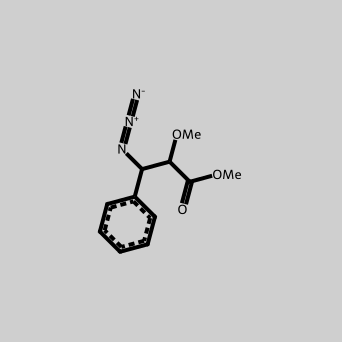 COC(=O)C(OC)C(N=[N+]=[N-])c1ccccc1